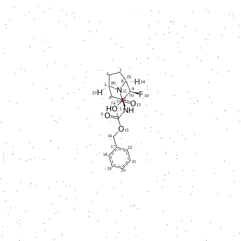 O=C(N[C@H]1C[C@H]2CC[C@@H]([C@H]1F)N2C(=O)O)OCc1ccccc1